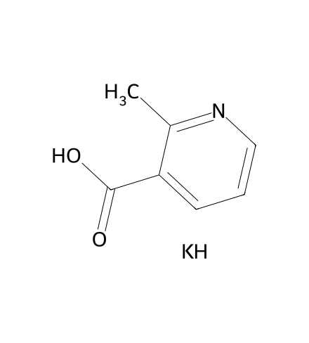 Cc1ncccc1C(=O)O.[KH]